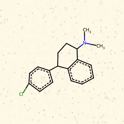 CN(C)C1CCC(c2ccc(Cl)cc2)c2ccccc21